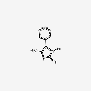 Cc1sc(=O)n(C(C)C)c1-c1ccccc1